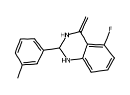 C=C1NC(c2cccc(C)c2)Nc2cccc(F)c21